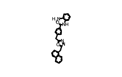 Nc1ccccc1NC(=O)c1ccc(Cc2nnc(Cc3cccc4ccccc34)o2)cc1